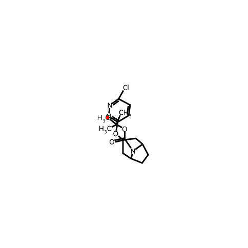 CC(C)(C)OC(=O)N1C2CCC1CC(Oc1ccc(Cl)nn1)C2